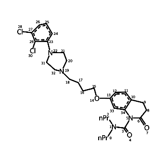 CCCN(CCC)C(=O)N1C(=O)CCc2ccc(OCCCCN3CCN(c4cccc(Cl)c4Cl)CC3)cc21